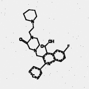 O=C(O)c1c(CN2CCN(CCN3CCCCC3)C(=O)C2)c(-c2ccccc2)nc2ccc(F)cc12